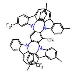 Cc1ccc2c(c1)c1cc(C)ccc1n2-c1c(-n2c3ccccc3c3ccc(C(F)(F)F)cc32)cc(-n2c3ccccc3c3ccc(C(F)(F)F)cc32)c(-n2c3ccc(C)cc3c3cc(C)ccc32)c1C#N